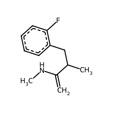 C=C(NC)C(C)Cc1ccccc1F